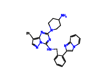 CC(C)c1cnn2c(NCc3ccccc3-c3cn4ccccc4n3)nc(N3CCC(N)CC3)nc12